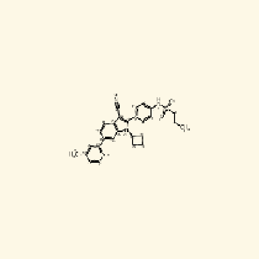 CCCS(=O)(=O)Nc1ccc(-c2c(C#N)c3ccc(-c4cc(C)ccn4)cc3n2C2CCC2)cc1